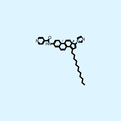 CCCCCCCCCCCCC1=C2C3=C(C=C[C@]2(C)C(n2ccnc2)=C1)[C@]1(C)CC=C(NC(=O)c2ccncc2)C=C1C=C3